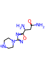 NC(=O)C[C@H](N)c1nc(N2CCNCC2)no1